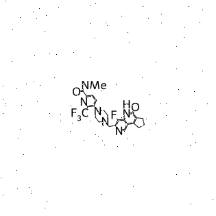 CNC(=O)c1ccc(N2CCN(Cc3ncc4c5c(c(=O)[nH]c4c3F)CCC5)CC2)c(C(F)(F)F)n1